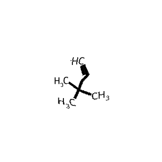 [CH]=CC(C)(C)C